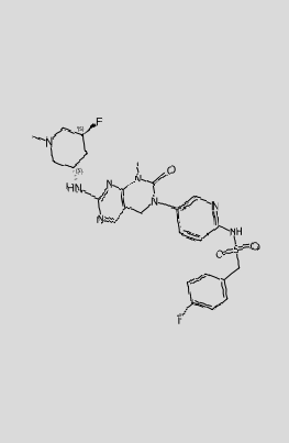 CN1C[C@@H](F)C[C@H](Nc2ncc3c(n2)N(C)C(=O)N(c2ccc(NS(=O)(=O)Cc4ccc(F)cc4)nc2)C3)C1